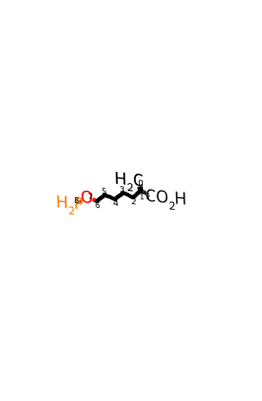 C=C(CCCCCOP)C(=O)O